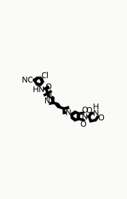 CC(C)(C(=O)Nc1cc(Cl)cc(C#N)c1)n1cc(C#CC2CN(c3ccc4c(c3)C(=O)N(C3CCC(=O)NC3=O)C4=O)C2)cn1